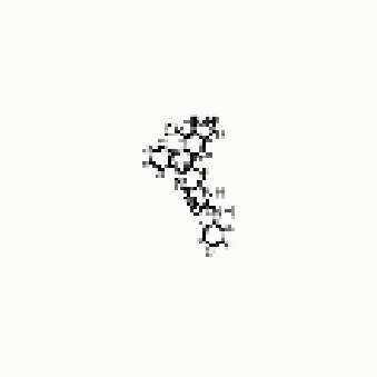 Cc1ccc(NC(=O)Nc2nc(-c3cc(Cl)c4[nH]ncc4c3)c(-c3ccccc3)nc2N)cc1